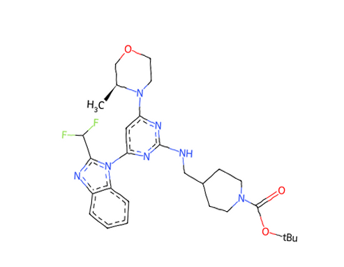 C[C@H]1COCCN1c1cc(-n2c(C(F)F)nc3ccccc32)nc(NCC2CCN(C(=O)OC(C)(C)C)CC2)n1